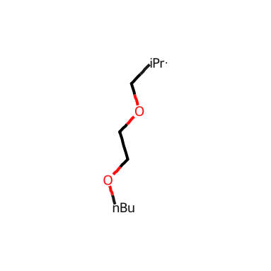 CCCCOCCOC[C](C)C